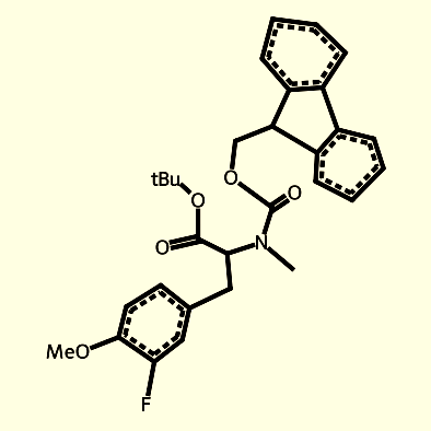 COc1ccc(CC(C(=O)OC(C)(C)C)N(C)C(=O)OCC2c3ccccc3-c3ccccc32)cc1F